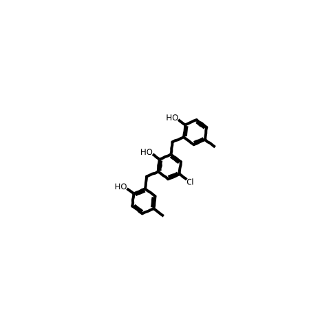 Cc1ccc(O)c(Cc2cc(Cl)cc(Cc3cc(C)ccc3O)c2O)c1